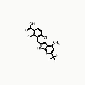 Cc1cc(C(F)(F)F)nc2[nH]c(Cc3c(Cl)ccc(C(=O)O)c3Cl)cc12